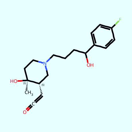 C[C@]1(O)CCN(CCCC(O)c2ccc(F)cc2)C[C@@H]1C=C=O